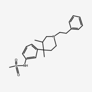 CC1CN(CCc2ccccc2)CCC1(C)c1cccc(NS(C)(=O)=O)c1